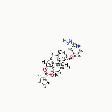 C=C1CCC2[C@]3(C)CO[C@@H](C4CCCC4)O[C@@H]3CC[C@@]2(C)[C@@H]1CCOc1ccnc(N)c1